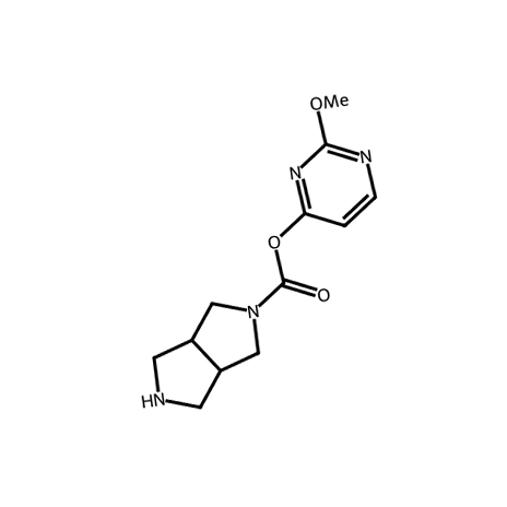 COc1nccc(OC(=O)N2CC3CNCC3C2)n1